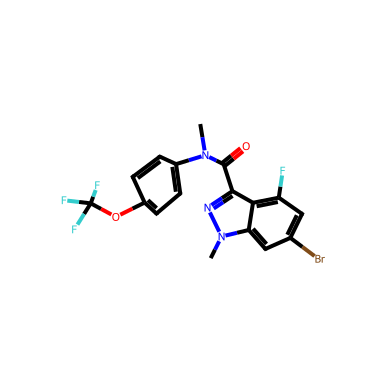 CN(C(=O)c1nn(C)c2cc(Br)cc(F)c12)c1ccc(OC(F)(F)F)cc1